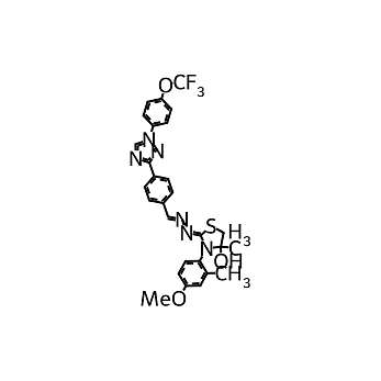 COc1ccc(N2C(=NN=Cc3ccc(-c4ncn(-c5ccc(OC(F)(F)F)cc5)n4)cc3)SCC2(C)O)c(C)c1